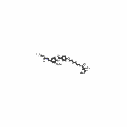 COc1cc(/C=C/C(=O)OCC(F)(F)F)ccc1OC(=O)c1ccc(OCCCCCCOC(=O)C(C)(CC(C)(C)C)C(C)(C)C)cc1